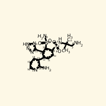 CC(C)(CN)NS(=O)(=O)c1ccc(-c2cccnc2N)c(-c2nn[nH]n2)c1S(N)(=O)=O